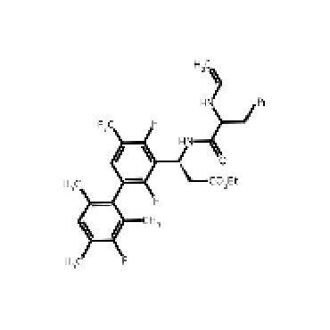 C=CNC(CC(C)C)C(=O)N[C@@H](CC(=O)OCC)c1c(F)c(-c2c(C)cc(C)c(F)c2C)cc(C(F)(F)F)c1F